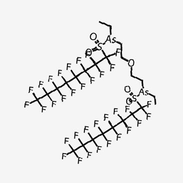 CC[As](CCOCC[As](CC)S(=O)(=O)C(F)(F)C(F)(F)C(F)(F)C(F)(F)C(F)(F)C(F)(F)C(F)(F)C(F)(F)F)S(=O)(=O)C(F)(F)C(F)(F)C(F)(F)C(F)(F)C(F)(F)C(F)(F)C(F)(F)C(F)(F)F